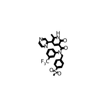 Cc1[nH]c(=O)c(C(=O)N(Cc2ccc(S(C)(=O)=O)cc2)c2cccc(C(F)(F)F)c2)cc1-c1cnccn1